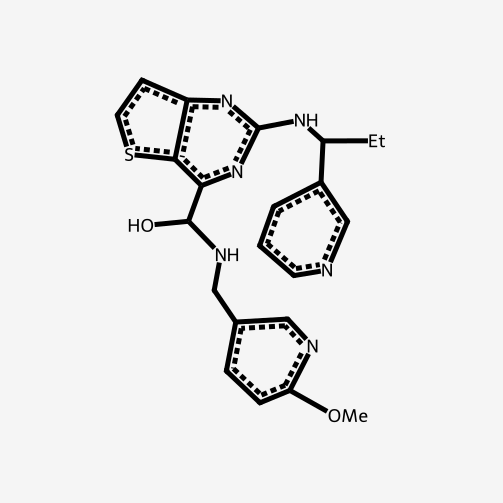 CCC(Nc1nc(C(O)NCc2ccc(OC)nc2)c2sccc2n1)c1cccnc1